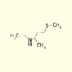 CCNC(C)CCSC